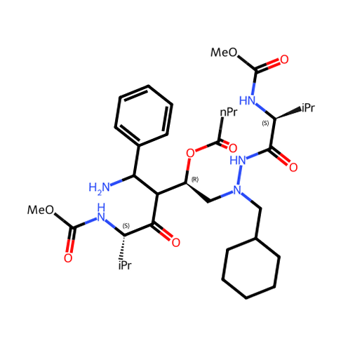 CCCC(=O)O[C@@H](CN(CC1CCCCC1)NC(=O)[C@@H](NC(=O)OC)C(C)C)C(C(=O)[C@@H](NC(=O)OC)C(C)C)C(N)c1ccccc1